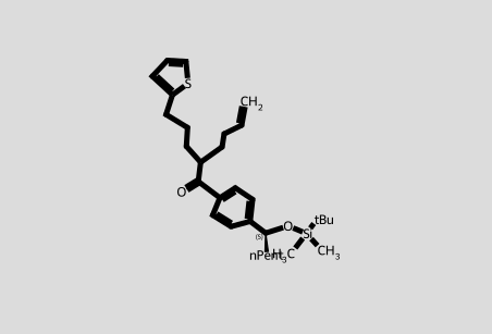 C=CCCC(CCCc1cccs1)C(=O)c1ccc([C@H](CCCCC)O[Si](C)(C)C(C)(C)C)cc1